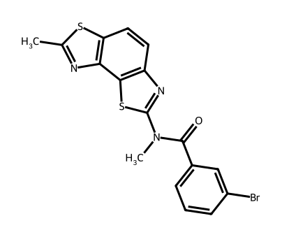 Cc1nc2c(ccc3nc(N(C)C(=O)c4cccc(Br)c4)sc32)s1